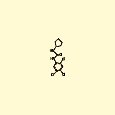 O=C(Nc1cc(Cl)c(Cl)cc1Cl)NC1CCCC1